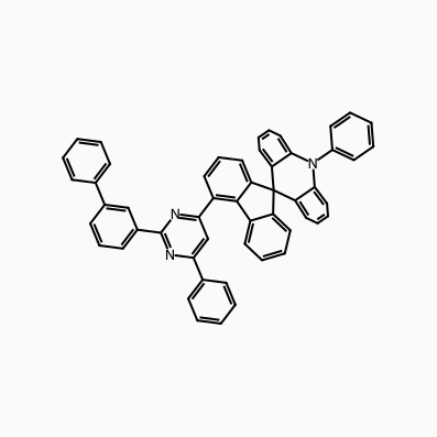 c1ccc(-c2cccc(-c3nc(-c4ccccc4)cc(-c4cccc5c4-c4ccccc4C54c5ccccc5N(c5ccccc5)c5ccccc54)n3)c2)cc1